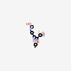 Cc1ccc(S(=O)(=O)n2cc(-c3cc(F)c4ocnc4c3)c3cc(-c4ccc(CN5CCCC(O)C5)cc4)cnc32)cc1